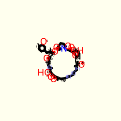 COC1CC(C[C@@H](C)[C@@H]2CC(=O)[C@H](C)/C=C(\C)[C@@H](O)C(OC)C(=O)C(C)C[C@H](C)/C=C/C=C/C=C(\C)[C@@H](OC)C[C@@H]3CC[C@@H](C)C(O)(O3)C(=O)C(=O)N3CCCCC3C(=O)O2)CC[C@H]1C